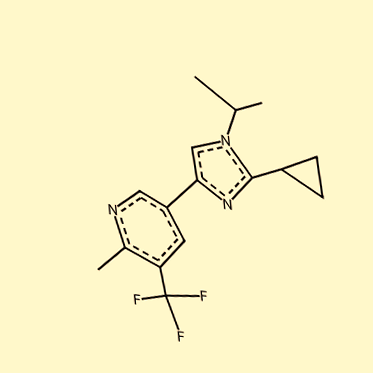 Cc1ncc(-c2cn(C(C)C)c(C3CC3)n2)cc1C(F)(F)F